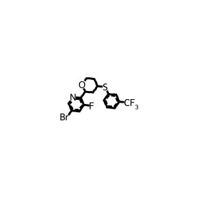 Fc1cc(Br)cnc1C1CC(Sc2cccc(C(F)(F)F)c2)CCO1